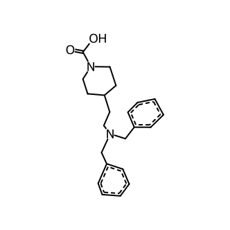 O=C(O)N1CCC(CCN(Cc2ccccc2)Cc2ccccc2)CC1